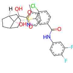 Cc1cccnc1C(O)[C@@]1(O)C2CC[C@H]1C[C@H](S(=O)(=O)c1cc(C(=O)Nc3ccc(F)c(F)c3)ccc1Cl)C2